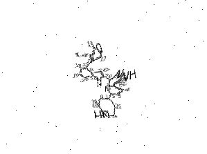 C1=C(c2ccc3[nH]nc(-c4cc5c(-c6ccoc6)cccc5[nH]4)c3n2)CCNC1